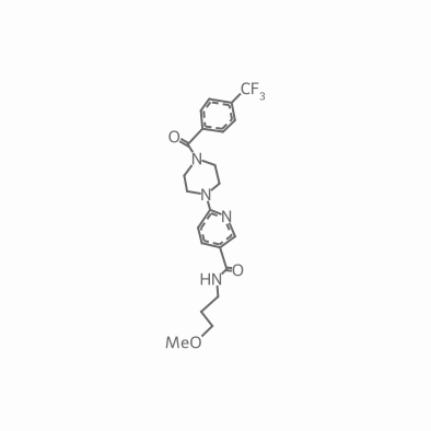 COCCCNC(=O)c1ccc(N2CCN(C(=O)c3ccc(C(F)(F)F)cc3)CC2)nc1